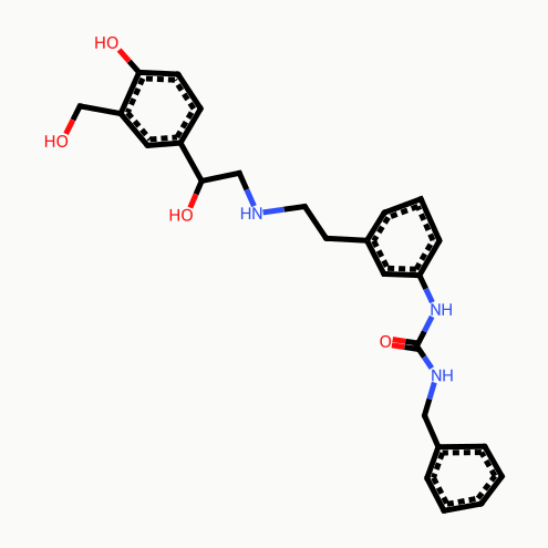 O=C(NCc1ccccc1)Nc1cccc(CCNCC(O)c2ccc(O)c(CO)c2)c1